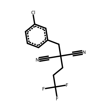 N#CC(C#N)(CCC(F)(F)F)Cc1cccc(Cl)c1